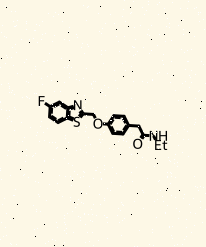 CCNC(=O)Cc1ccc(OCc2nc3cc(F)ccc3s2)cc1